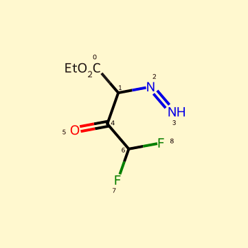 CCOC(=O)C(N=N)C(=O)C(F)F